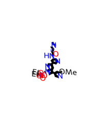 CCOP(=O)(OCC)OCn1cc(-c2ccnc(OC)c2)c2cc(-c3cncc(NC(=O)/C=C/CN(C)C)c3)cnc21